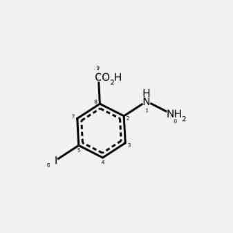 NNc1ccc(I)cc1C(=O)O